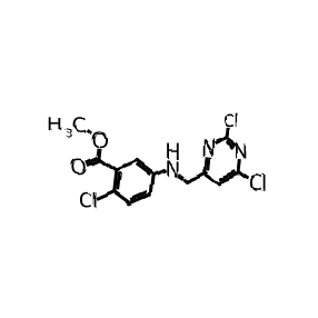 COC(=O)c1cc(NCc2cc(Cl)nc(Cl)n2)ccc1Cl